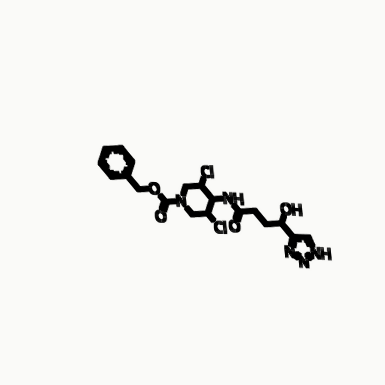 O=C(CCC(O)c1c[nH]nn1)NC1C(Cl)CN(C(=O)OCc2ccccc2)CC1Cl